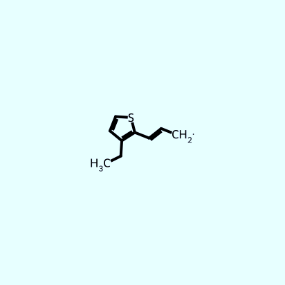 [CH2]C=Cc1sccc1CC